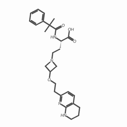 CC(C)(C(=O)N[C@@H](CCN1CC(OCCc2ccc3c(n2)NCCC3)C1)C(=O)O)c1ccccc1